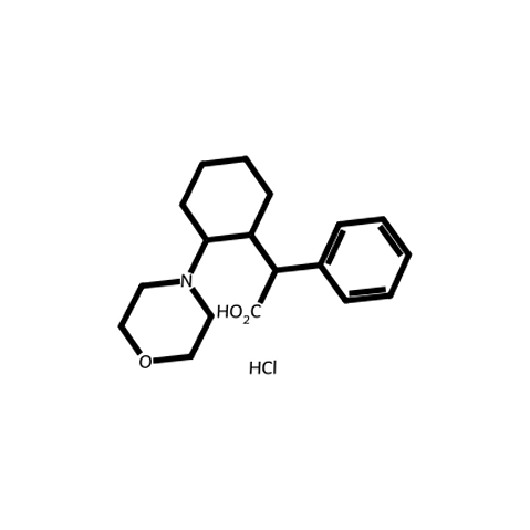 Cl.O=C(O)C(c1ccccc1)C1CCCCC1N1CCOCC1